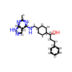 Cc1nc(NCC2CCC(C(O)CCc3ccccc3)CC2)c2cn[nH]c2n1